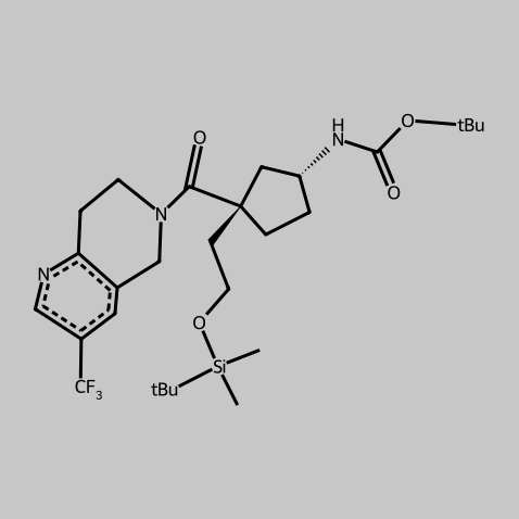 CC(C)(C)OC(=O)N[C@@H]1CC[C@](CCO[Si](C)(C)C(C)(C)C)(C(=O)N2CCc3ncc(C(F)(F)F)cc3C2)C1